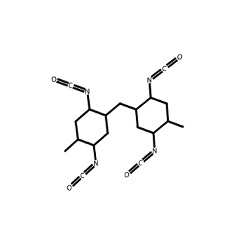 CC1CC(N=C=O)C(CC2CC(N=C=O)C(C)CC2N=C=O)CC1N=C=O